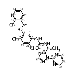 CC(NC(=O)Nc1cc(OCc2cccnc2Cl)c(Cl)cc1Cl)c1ncnn1-c1ncccn1